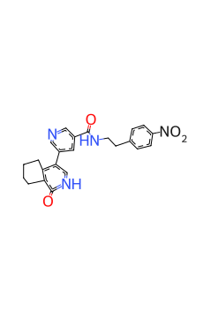 O=C(NCCc1ccc([N+](=O)[O-])cc1)c1cncc(-c2c[nH]c(=O)c3c2CCCC3)c1